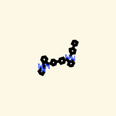 c1ccc(-c2ccc(-c3nc(-c4ccc(-c5ccc(-c6nc7c(nc8ccccn87)c7ccccc67)cc5)cc4)c4ccccc4n3)cc2)cc1